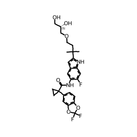 CC(C)(CCOC[C@@H](O)CO)c1cc2cc(NC(=O)C3(c4ccc5c(c4)OC(F)(F)O5)CC3)c(F)cc2[nH]1